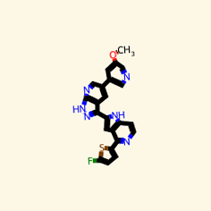 COc1cncc(-c2cnc3[nH]nc(-c4cc5c(-c6ccc(F)s6)nccc5[nH]4)c3c2)c1